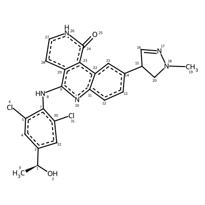 C[C@H](O)c1cc(Cl)c(Nc2nc3ccc(C4C=NN(C)C4)cc3c3c(=O)[nH]ccc23)c(Cl)c1